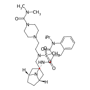 CC(C)n1c(=O)c(C(=O)N[C@H]2C[C@H]3CC[C@@H](C2)N3CCN(CCN2CCN(C(=O)N(C)C)CC2)S(C)(=O)=O)cc2ccccc21